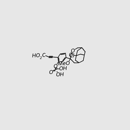 COC1(c2ccc(C#CC(=O)O)c(OP(=O)(O)O)c2)CC2CC3CC(COO1)CC(Cl)(C3)C2